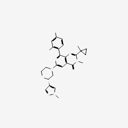 Cn1cc([C@@H]2CN(c3cc4c(=O)n(C)c(C5(C)CC5)nc4c(-c4ccc(Cl)cc4F)n3)CCO2)cn1